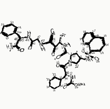 CCCC(NC(=O)[C@@H]1CC(NS(=O)(=O)c2cccc3cccnc23)CN1C(=O)[C@H](NC(=O)OCC(C)C)C1CCCCC1)C(=O)C(=O)NCC(=O)N[C@@H](C(N)=O)c1ccccc1